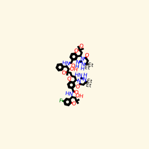 CCC1(CC)CC(=O)N([C@@H]2CC(CC3(C)Oc4ccccc4[C@@H](NC(=O)c4ccc5c(c4)[C@H](N4C(=N)NC(CC)(CC)CC4=O)CC4(COC4)O5)[C@@H]3O)Oc3ccc(C(=O)N[C@@H]4c5cc(F)ccc5OC(C)(C)[C@H]4O)cc32)C(=N)N1